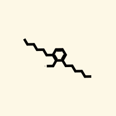 [CH2]Cc1c(CCCCCC)cccc1CCCCCC